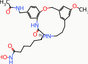 COc1cc2cc(c1)COc1ccc(CNC(C)=O)cc1NC(=O)[C@H](CCCCCC(=O)NO)NCCC2